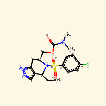 CC[C@H]1c2cn[nH]c2C[C@@H](COC(=O)N(C)C)N1S(=O)(=O)c1ccc(Cl)cc1